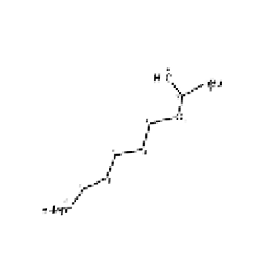 CCCCCCCCCCCCOC(C)CCCC